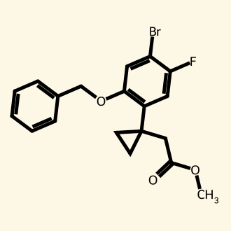 COC(=O)CC1(c2cc(F)c(Br)cc2OCc2ccccc2)CC1